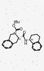 CC(C)(C)OC(=O)N1Cc2ccccc2C[C@H]1C(=O)N[C@@H]1CCCc2ccccc21